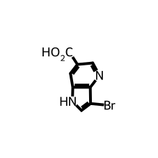 O=C(O)c1cnc2c(Br)c[nH]c2c1